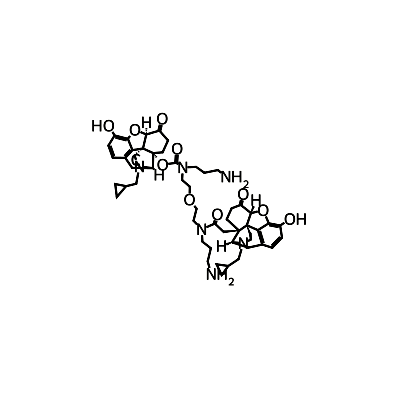 NCCCN(CCOCCN(CCCN)C(=O)O[C@@]12CCC(=O)[C@@H]3Oc4c(O)ccc5c4[C@@]31CCN(CC1CC1)[C@@H]2C5)C(=O)C[C@@]12CCC(=O)[C@@H]3Oc4c(O)ccc5c4[C@@]31CCN(CC1CC1)[C@@H]2C5